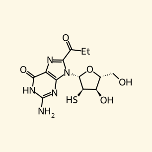 CCC(=O)c1nc2c(=O)[nH]c(N)nc2n1[C@@H]1O[C@H](CO)[C@@H](O)[C@H]1S